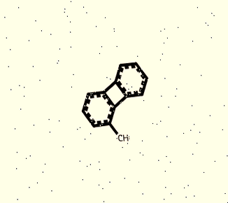 [CH]c1cccc2c1-c1ccccc1-2